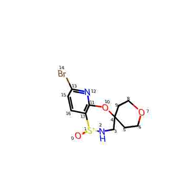 [O-][S+]1NCC2(CCOCC2)Oc2nc(Br)ccc21